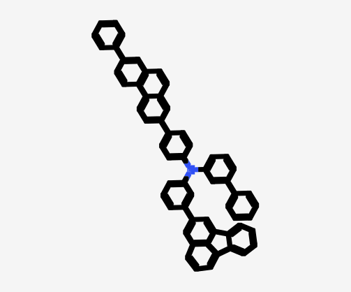 c1ccc(-c2cccc(N(c3ccc(-c4ccc5c(ccc6cc(-c7ccccc7)ccc65)c4)cc3)c3cccc(-c4cc5c6c(cccc6c4)-c4ccccc4-5)c3)c2)cc1